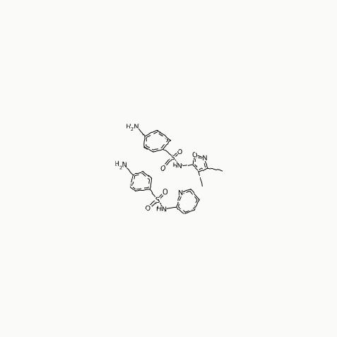 Cc1noc(NS(=O)(=O)c2ccc(N)cc2)c1C.Nc1ccc(S(=O)(=O)Nc2ccccn2)cc1